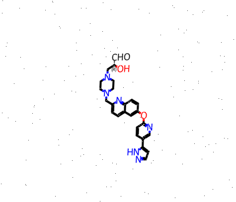 O=C[C@H](O)CN1CCN(Cc2ccc3cc(Oc4ccc(-c5ccn[nH]5)cn4)ccc3n2)CC1